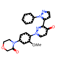 COc1cc(N2CCOCC2=O)ccc1-n1ccc(=O)c(-c2ccnn2-c2ccccc2)n1